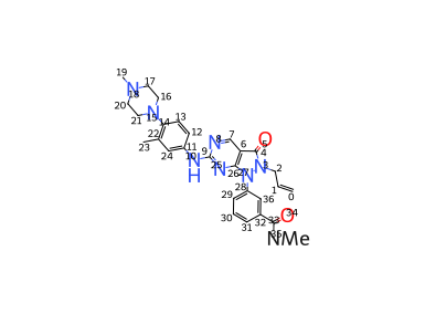 C=CCn1c(=O)c2cnc(Nc3ccc(N4CCN(C)CC4)c(C)c3)nc2n1-c1cccc(C(=O)NC)c1